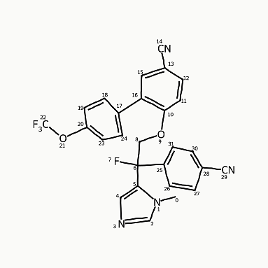 Cn1cncc1C(F)(COc1ccc(C#N)cc1-c1ccc(OC(F)(F)F)cc1)c1ccc(C#N)cc1